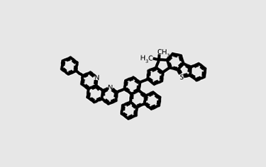 CC1(C)c2cc(-c3ccc(-c4ccc5ccc6cc(-c7ccccc7)cnc6c5n4)c4c5ccccc5c5ccccc5c34)ccc2-c2c1ccc1c2sc2ccccc21